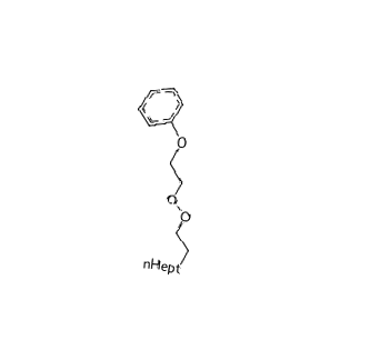 CCCCCCCCCOOCCOc1ccccc1